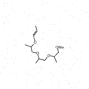 C[C]=COC(C)COC(C)COC(C)COC